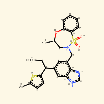 CCC[C@@H]1CN(Cc2cc(C(CC(=O)O)c3ccc(C(C)=O)s3)cc3[nH]cnc23)S(=O)(=O)c2ccccc2O1